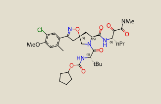 CCC[C@H](NC(=O)[C@@H]1C[C@]2(CC(c3cc(Cl)c(OC)cc3C)=NO2)CN1C(=O)[C@@H](NC(=O)OC1CCCC1)C(C)(C)C)C(=O)C(=O)NC